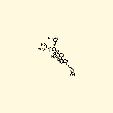 CN(C)c1c(COc2cc(OCc3cncc(C#N)c3)c(CN[C@@H](CO)C(=O)O)cc2Cl)cccc1-c1cccc2c1cnn2CCCCN1CC[C@@H](O)C1